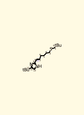 CC(C)(C)CSCCCC/C=C/c1nc(C(C)(C)C)c[nH]1